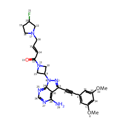 COc1cc(C#Cc2nn(C3CN(C(=O)C=CCN4CCC(F)C4)C3)c3ncnc(N)c23)cc(OC)c1